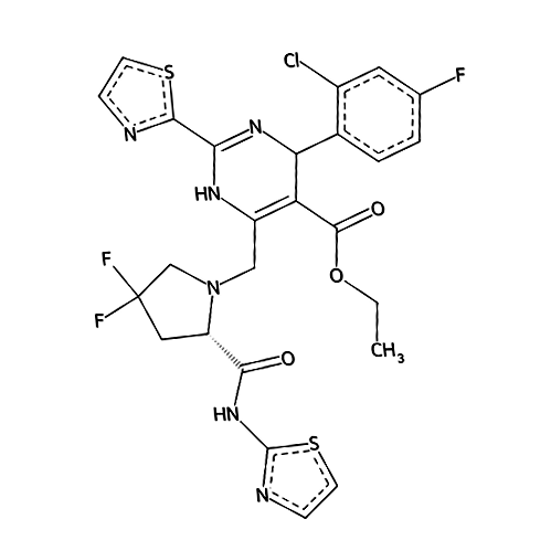 CCOC(=O)C1=C(CN2CC(F)(F)C[C@H]2C(=O)Nc2nccs2)NC(c2nccs2)=NC1c1ccc(F)cc1Cl